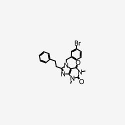 Cn1c(=O)c2c(nc(CCc3ccccc3)n2Cc2cccc(Br)c2)n(C)c1=O